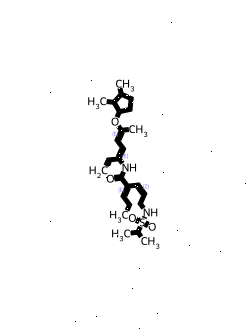 C=C/C(=C\C=C(/C)OC1CCC(C)C1C)NC(=O)C(/C=C\CNS(=O)(=O)C(C)C)=C/CC